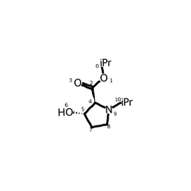 CC(C)OC(=O)[C@@H]1[C@@H](O)CCN1C(C)C